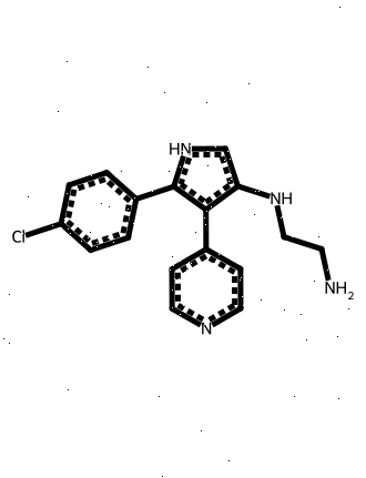 NCCNc1c[nH]c(-c2ccc(Cl)cc2)c1-c1ccncc1